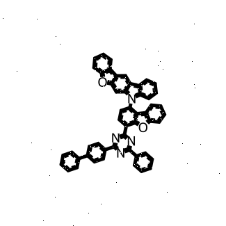 c1ccc(-c2ccc(-c3nc(-c4ccccc4)nc(-c4ccc(-n5c6ccccc6c6cc7c(cc65)oc5ccccc57)c5c4oc4ccccc45)n3)cc2)cc1